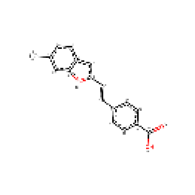 Cc1ccc2cc(C=Cc3ccc(C(=O)O)cc3)oc2c1